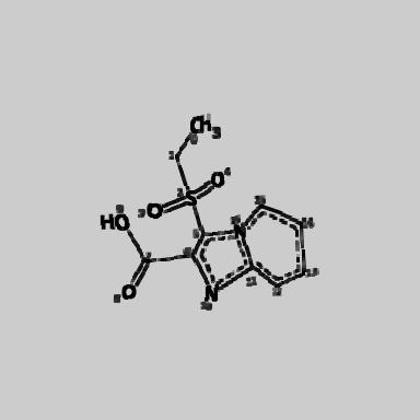 CCS(=O)(=O)c1c(C(=O)O)nc2ccccn12